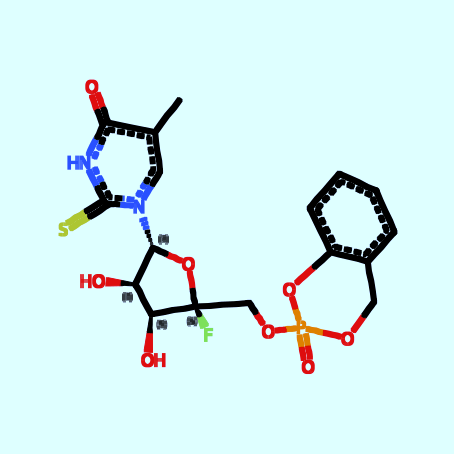 Cc1cn([C@@H]2O[C@](F)(COP3(=O)OCc4ccccc4O3)[C@@H](O)[C@H]2O)c(=S)[nH]c1=O